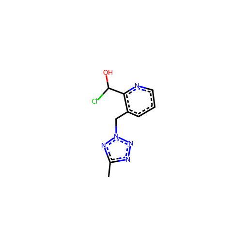 Cc1nnn(Cc2cccnc2C(O)Cl)n1